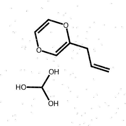 C=CCC1=COC=CO1.OC(O)O